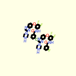 O=C(Nc1cc(F)c(F)c(Oc2ccc3ncc(N4CCNCC4)nc3c2)c1)c1cccc(Cl)c1.O=C(Nc1cc(F)c(F)c(Oc2ccc3ncc(N4CCNCC4)nc3c2)c1)c1cccc(F)c1